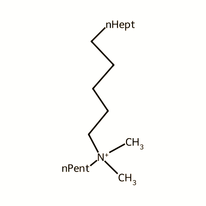 [CH2]CCCC[N+](C)(C)CCCCCCCCCCCC